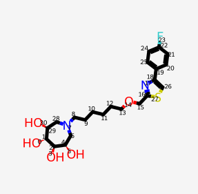 O[C@H]1[C@H](O)[C@@H](O)CN(CCCCCCOCc2nc(-c3ccc(F)cc3)cs2)C[C@@H]1O